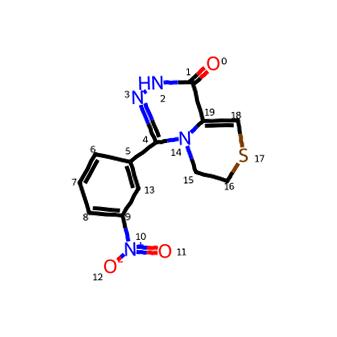 O=C1NN=C(c2cccc([N+](=O)[O-])c2)N2CCSC=C12